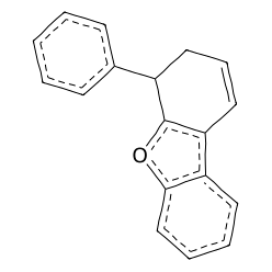 C1=Cc2c(oc3ccccc23)C(c2ccccc2)C1